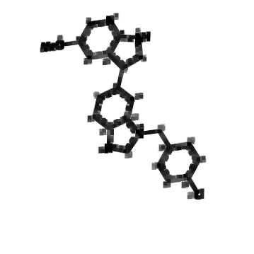 COc1cnc2[nH]cc(-c3ccc4ncn(Cc5ccc(Cl)cc5)c4c3)c2c1